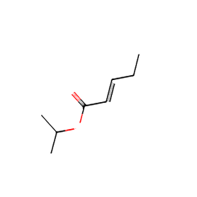 [CH2]CC=CC(=O)OC(C)C